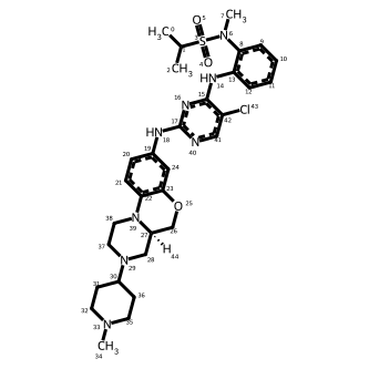 CC(C)S(=O)(=O)N(C)c1ccccc1Nc1nc(Nc2ccc3c(c2)OC[C@H]2CN(C4CCN(C)CC4)CCN32)ncc1Cl